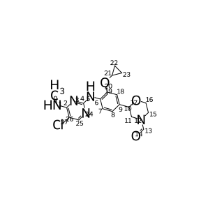 CNc1nc(Nc2ccc(C3CN(C=O)CCO3)cc2OC2CC2)ncc1Cl